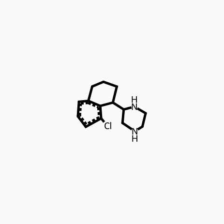 Clc1cccc2c1C(C1CNCCN1)CCC2